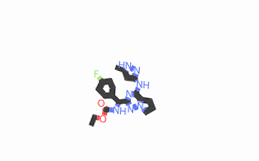 CCOC(=O)NC(c1ccc(F)cc1)c1nc(Nc2cc(C)[nH]n2)c2cccn2n1